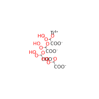 O=C([O-])C(=O)OO.O=C([O-])C(=O)OO.O=C([O-])C(=O)OO.O=C([O-])C(=O)OO.[Ti+4]